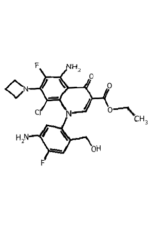 CCOC(=O)c1cn(-c2cc(N)c(F)cc2CO)c2c(Cl)c(N3CCC3)c(F)c(N)c2c1=O